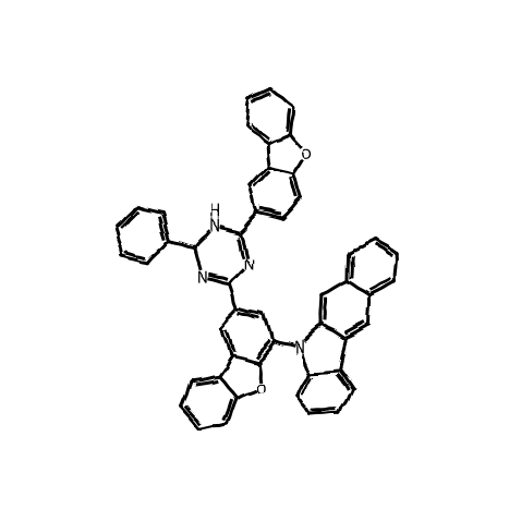 c1ccc(C2N=C(c3cc(-n4c5ccccc5c5cc6ccccc6cc54)c4oc5ccccc5c4c3)N=C(c3ccc4oc5ccccc5c4c3)N2)cc1